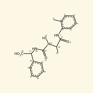 Cc1ccccc1NC(=O)C(C)N(S)C(=O)NC(C(=O)O)c1ccccc1